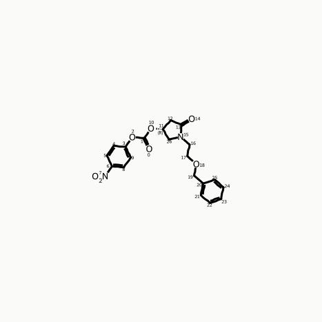 O=C(Oc1ccc([N+](=O)[O-])cc1)O[C@@H]1CC(=O)N(CCOCc2ccccc2)C1